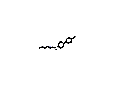 C/C=C/C=C/COc1ccc(-c2ccc(F)cc2)cc1